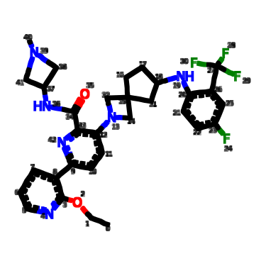 CCOc1ncccc1-c1ccc(N2CC3(CCC(Nc4ccc(F)cc4C(F)(F)F)C3)C2)c(C(=O)NC2CN(C)C2)n1